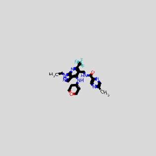 CCn1ncc2c(NC3CCOCC3)c(CNC(=O)c3cnc(C)cn3)c(C(F)(F)F)nc21